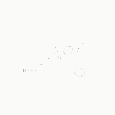 CCCCCCCC(C)(C)c1ccc([C@@H]2CCC[C@H](O)C2)c(OCc2ccccc2)c1